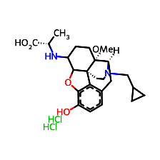 CO[C@@]12CCC(N[C@@H](C)C(=O)O)C3Oc4c(O)ccc5c4[C@@]31CCN(CC1CC1)[C@@H]2C5.Cl.Cl